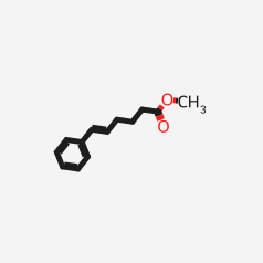 COC(=O)CCC/C=C/c1ccccc1